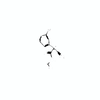 CCOC(=O)[C@@](F)(C#N)c1cccc(Cl)c1